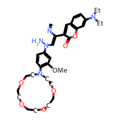 C=N/C(=C\N(N)c1ccc(N2CCOCCOCCOCCOCC2)c(OC)c1)c1cc2ccc(N(CC)CC)cc2oc1=O